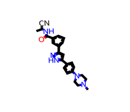 CC(C#N)NC(=O)c1cccc(-c2cc(-c3ccc(N4CCN(C)CC4)cc3)[nH]n2)c1